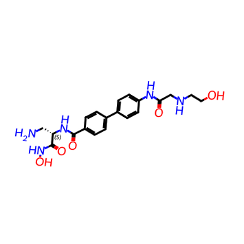 NC[C@H](NC(=O)c1ccc(-c2ccc(NC(=O)CNCCO)cc2)cc1)C(=O)NO